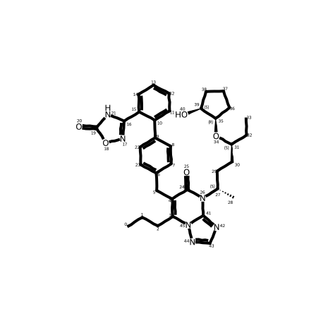 CCCc1c(Cc2ccc(-c3ccccc3-c3noc(=O)[nH]3)cc2)c(=O)n([C@@H](C)CC[C@H](CC)O[C@@H]2CCC[C@@H]2O)c2ncnn12